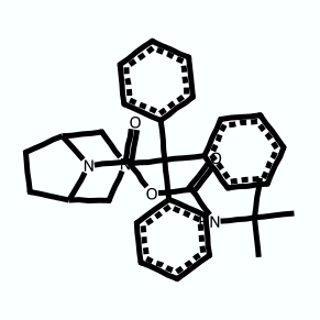 CC(C)(C)NC(=O)OC(=O)N1C2CCC1CN(C(c1ccccc1)(c1ccccc1)c1ccccc1)C2